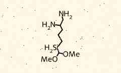 COC(OC)[SiH2]CCCC(N)CN